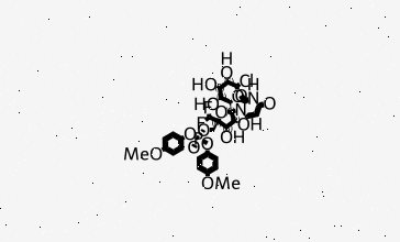 COc1ccc(OP(=O)(OC[C@@]2(C(F)F)O[C@@](C3OC(Cl)[C@@H](O)[C@H](O)[C@H]3O)(n3ccc(=O)[nH]c3=O)[C@H](O)[C@@H]2O)Oc2ccc(OC)cc2)cc1